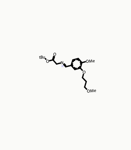 COCCCOc1cc(/C=N/CC(=O)OC(C)(C)C)ccc1OC